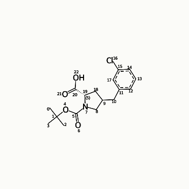 CC(C)(C)OC(=O)N1CC(Cc2cccc(Cl)c2)C[C@H]1C(=O)O